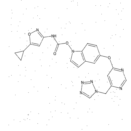 O=C(Nc1cc(C2CC2)on1)On1ccc2cc(Oc3cc(Cn4cnnn4)ncn3)ccc21